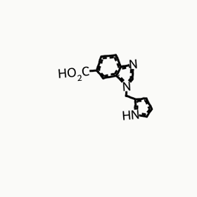 O=C(O)c1ccc2ncn(Cc3ccc[nH]3)c2c1